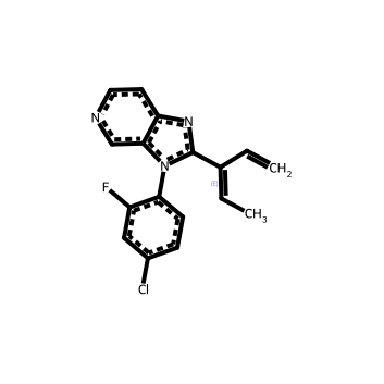 C=C/C(=C\C)c1nc2ccncc2n1-c1ccc(Cl)cc1F